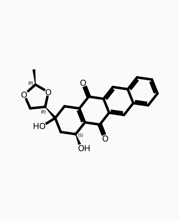 C[C@@H]1OC[C@H](C2(O)CC3=C(C(=O)c4cc5ccccc5cc4C3=O)[C@@H](O)C2)O1